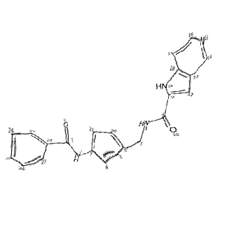 O=C(Nc1ccc(CNC(=O)c2cc3cnccc3[nH]2)cc1)c1ccccc1